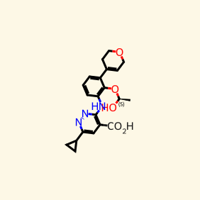 C[C@@H](O)Oc1c(Nc2nnc(C3CC3)cc2C(=O)O)cccc1C1=CCOCC1